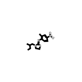 CCC(C)CN1CCSC1=Nc1ccc([N+](=O)[O-])cc1C